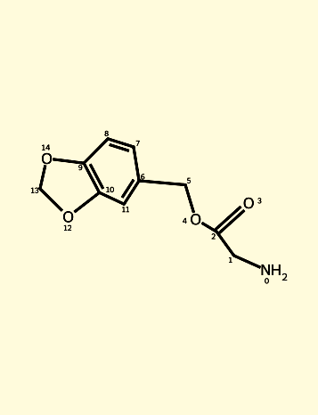 NCC(=O)OCc1ccc2c(c1)OCO2